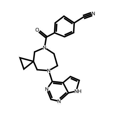 N#Cc1ccc(C(=O)N2CCN(c3ncnc4[nH]ccc34)CC3(CC3)C2)cc1